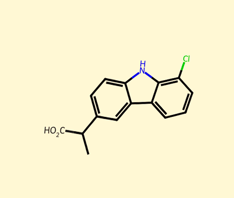 CC(C(=O)O)c1ccc2[nH]c3c(Cl)cccc3c2c1